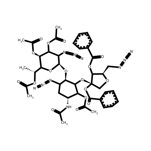 CC(=O)N[C@@H]1CC(N=[N+]=[N-])[C@@H](O[C@H]2OC([C@@H](C)OC(C)=O)[C@@H](OC(C)=O)C(OC(C)=O)C2N=[N+]=[N-])C(O[C@]2(OC(=O)c3ccccc3)CO[C@H](CN=[N+]=[N-])C2OC(=O)c2ccccc2)C1OC(C)=O